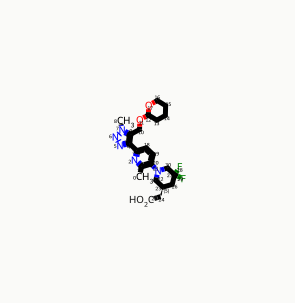 Cc1nc(-c2nnn(C)c2COC2CCCCO2)ccc1N1C[C@@H](CC(=O)O)CC(F)(F)C1